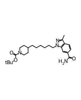 Cc1nn(CCCCCCC2CCN(C(=O)OC(C)(C)C)CC2)c2cc(C(N)=O)ccc12